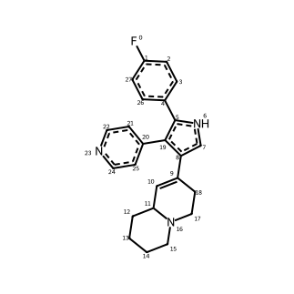 Fc1ccc(-c2[nH]cc(C3=CC4CCCCN4CC3)c2-c2ccncc2)cc1